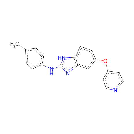 FC(F)(F)c1ccc(Nc2nc3cc(Oc4ccncc4)ccc3[nH]2)cc1